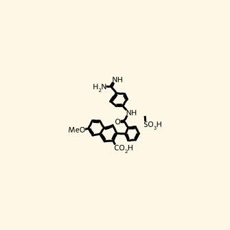 COc1ccc2cc(-c3ccccc3C(=O)Nc3ccc(C(=N)N)cc3)c(C(=O)O)cc2c1.CS(=O)(=O)O